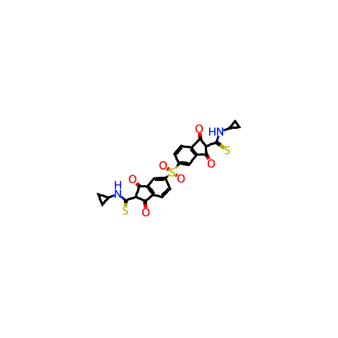 O=C1c2ccc(S(=O)(=O)c3ccc4c(c3)C(=O)C(C(=S)NC3CC3)C4=O)cc2C(=O)C1C(=S)NC1CC1